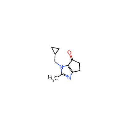 Cc1nc2c(n1CC1CC1)C(=O)CC2